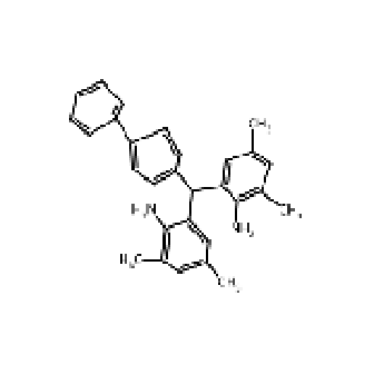 Cc1cc(C)c(N)c(C(c2ccc(-c3ccccc3)cc2)c2cc(C)cc(C)c2N)c1